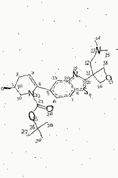 C[C@H]1CC=C(c2ccc3sc(C4(CN(C)C)COC4)nc3c2)N(C(=O)OC(C)(C)C)C1